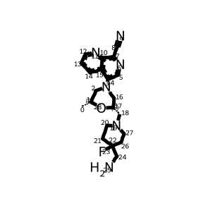 C[C@@H]1CN(c2cnc(C#N)c3ncccc23)C[C@H](CN2CCC(F)(CN)CC2)O1